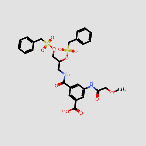 COCC(=O)Nc1cc(C(=O)O)cc(C(=O)NCC(COS(=O)(=O)Cc2ccccc2)OS(=O)(=O)Cc2ccccc2)c1